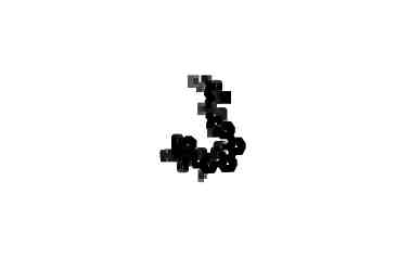 COc1nc(-c2cccc(-c3cccc(-c4ccn5c(=O)c(CNCC(O)CC(N)=O)cnc5c4)c3Cl)c2Cl)cc(F)c1CN(C[C@@H]1CCC(=O)N1)C(=O)OC(C)(C)C